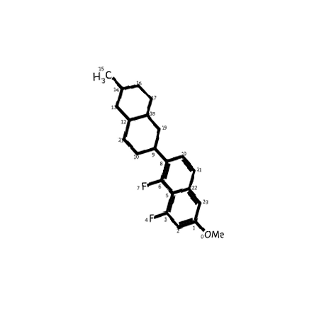 COc1cc(F)c2c(F)c(C3CCC4CC(C)CCC4C3)ccc2c1